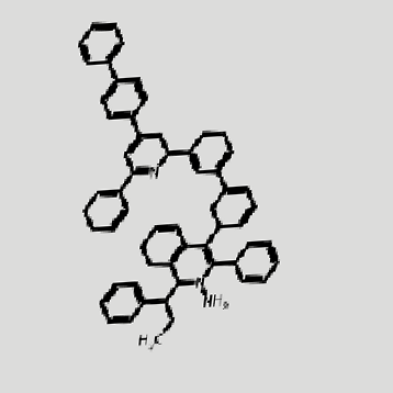 CCC(c1ccccc1)C1C2=C(C=CCC2)C(C2C=CC=C(C3=CCCC(C4CC(c5ccc(-c6ccccc6)cc5)=CC(C5=CCCC=C5)=N4)=C3)C2)=C(C2C=CC=CC2)N1N